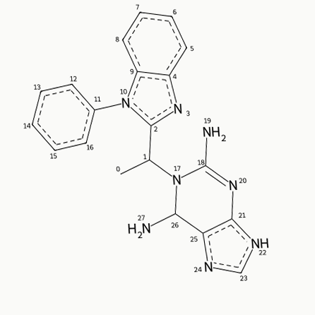 CC(c1nc2ccccc2n1-c1ccccc1)N1C(N)=Nc2[nH]cnc2C1N